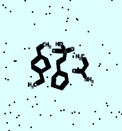 C=CC(N)=O.C=Cc1ccc(C=C)cc1.O=S(=O)(O)C=Cc1ccccc1